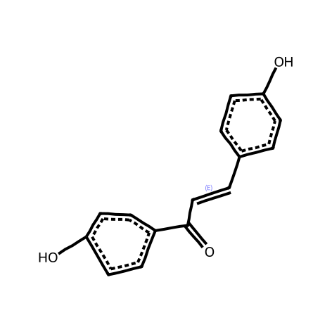 O=C(/C=C/c1ccc(O)cc1)c1ccc(O)cc1